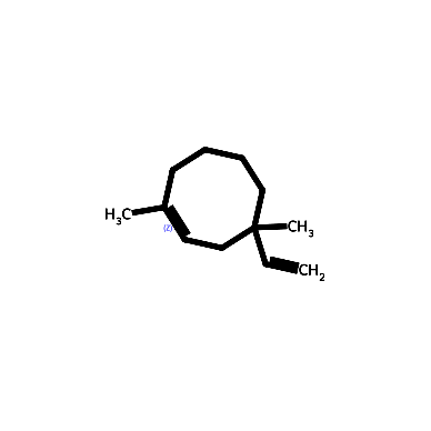 C=CC1(C)C/C=C(/C)CCCC1